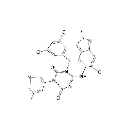 Cc1cncc(-n2c(=O)nc(Nc3cc4cn(C)nc4cc3Cl)n(Cc3cc(Cl)cc(Cl)c3)c2=O)c1